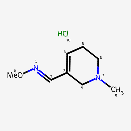 CON=CC1=CCCN(C)C1.Cl